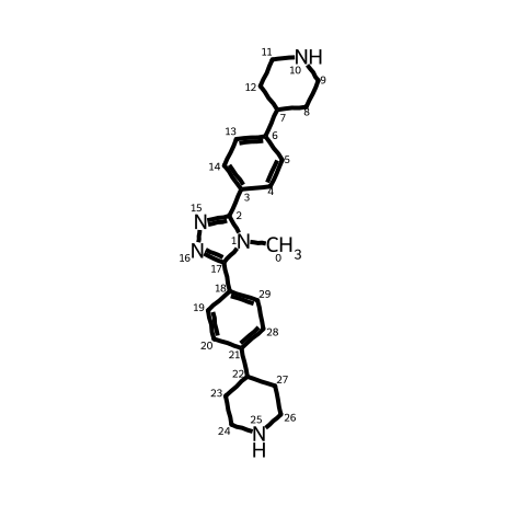 Cn1c(-c2ccc(C3CCNCC3)cc2)nnc1-c1ccc(C2CCNCC2)cc1